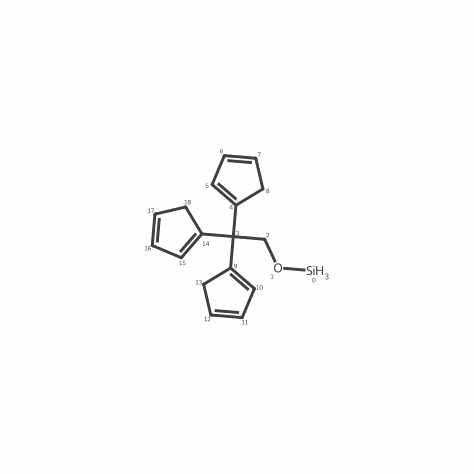 [SiH3]OCC(C1=CC=CC1)(C1=CC=CC1)C1=CC=CC1